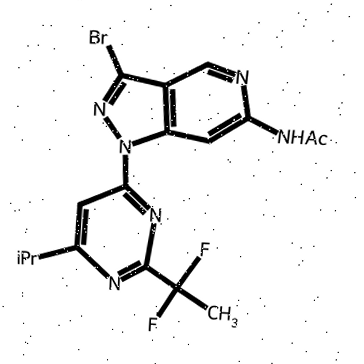 CC(=O)Nc1cc2c(cn1)c(Br)nn2-c1cc(C(C)C)nc(C(C)(F)F)n1